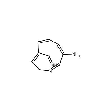 N=CC1=C/C\N=C/C(N)=C\C=C/1